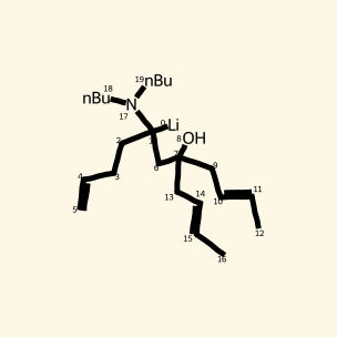 [Li][C](CCC=C)(CC(O)(CC=CC)CC=CC)N(CCCC)CCCC